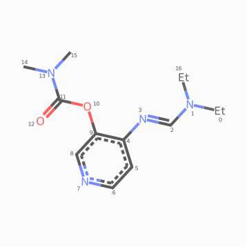 CCN(C=Nc1ccncc1OC(=O)N(C)C)CC